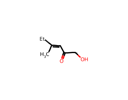 CCC(C)=CC(=O)[CH]O